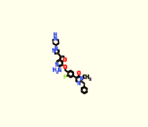 Cn1c(Cc2ccccc2)ncc(-c2ccc(COc3c(N)ncc4c(-c5cnn(C6CCNCC6)c5)coc34)c(F)c2)c1=O